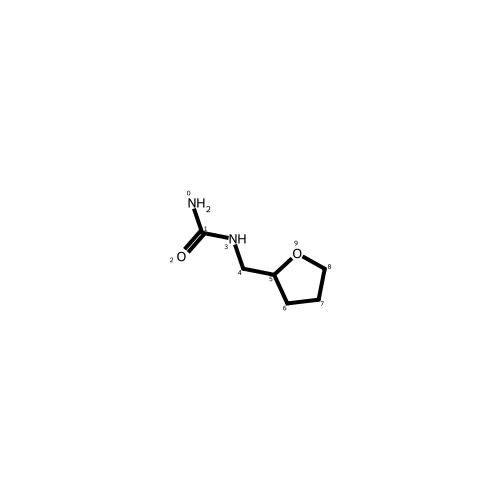 NC(=O)NCC1CCCO1